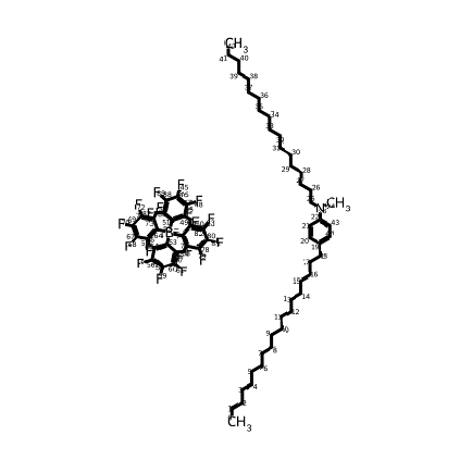 CCCCCCCCCCCCCCCCCCCc1ccc(N(C)CCCCCCCCCCCCCCCCCC)cc1.Fc1c(F)c(F)c([B-](c2c(F)c(F)c(F)c(F)c2F)(c2c(F)c(F)c(F)c(F)c2F)c2c(F)c(F)c(F)c(F)c2F)c(F)c1F